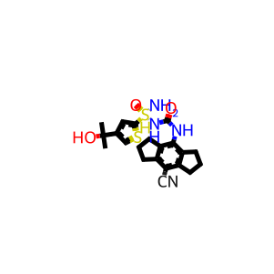 CC(C)(O)c1csc([SH](N)(=O)NC(=O)Nc2c3c(c(C#N)c4c2CCC4)CCC3)c1